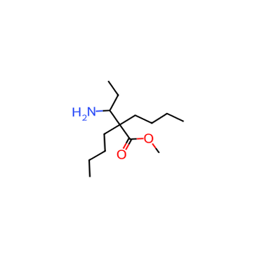 CCCCC(CCCC)(C(=O)OC)C(N)CC